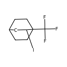 FC(F)(F)C12CCC(CC1)CC2I